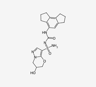 NS(=O)(=NC(=O)Nc1cc2c(c3c1CCC3)CCC2)c1cnn2c1OCC(O)C2